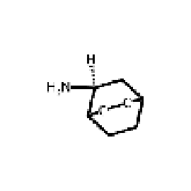 N[C@H]1CC2CCC1CC2